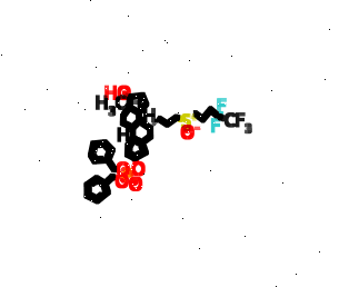 C[C@]12CC[C@@H]3c4ccc(OP(=O)(OCc5ccccc5)OCc5ccccc5)cc4C[C@@H](CCC[S+]([O-])CCCC(F)(F)C(F)(F)F)[C@H]3[C@@H]1CC[C@@H]2O